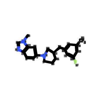 Cn1cnc2ccc(N3CCC[C@H](Cc4cc(F)cc(C(F)(F)F)c4)C3)cc21